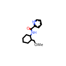 COCC1CCCCC1NC(=O)c1ccccn1